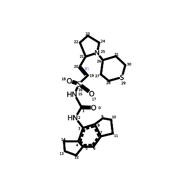 O=C(Nc1c2c(cc3c1CCC3)CCC2)NS(=O)(=O)/C=C/C1CCCN1C1CCSCC1